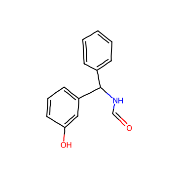 O=CNC(c1ccccc1)c1cccc(O)c1